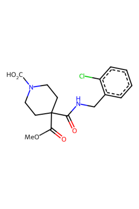 COC(=O)C1(C(=O)NCc2ccccc2Cl)CCN(C(=O)O)CC1